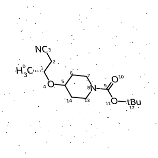 C[C@H](CC#N)OC1CCN(C(=O)OC(C)(C)C)CC1